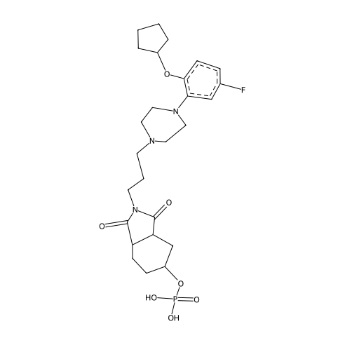 O=C1C2CCC(OP(=O)(O)O)CC2C(=O)N1CCCN1CCN(c2cc(F)ccc2OC2CCCC2)CC1